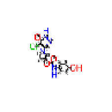 O=C(NC1CCC(O)CC1)O[C@@H]1CCN(c2cn[nH]c(=O)c2Cl)C1